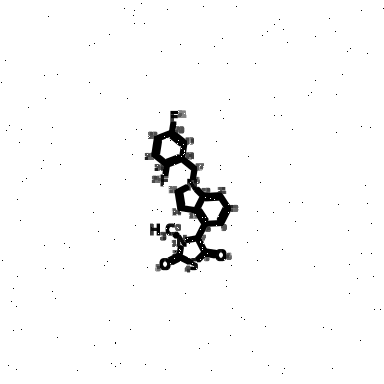 CN1C(=O)SC(=O)C1c1cccc2c1ccn2Cc1cc(F)ccc1F